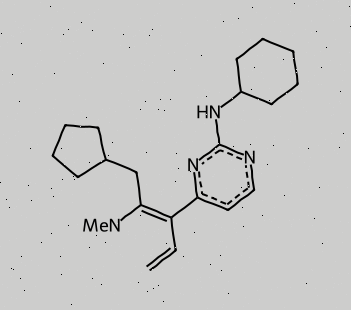 C=C/C(=C(/CC1CCCC1)NC)c1ccnc(NC2CCCCC2)n1